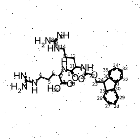 N=C(N)NCCC[C@@H](NC(=O)[C@@H](CCCNC(=N)N)NC(=O)OCC1c2ccccc2-c2ccccc21)C(=O)O